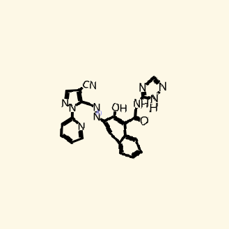 N#Cc1cnn(-c2ccccn2)c1/N=N/c1cc2ccccc2c(C(=O)Nc2ncn[nH]2)c1O